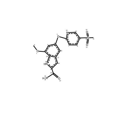 COc1cc(Oc2ccc(S(C)(=O)=O)cn2)cc2cc(C(N)=O)[nH]c12